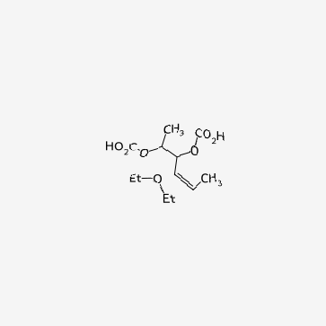 C/C=C\C(OC(=O)O)C(C)OC(=O)O.CCOCC